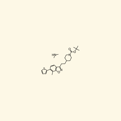 CNC.Cc1c(-c2cccs2)ccc2c(CCC3CCN(C(=O)OC(C)(C)C)CC3)noc12